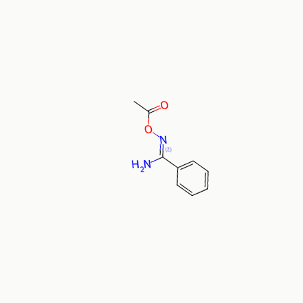 CC(=O)O/N=C(\N)c1ccccc1